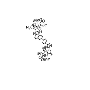 COC(=O)CC(C(=O)N1C[Si](C)(C)C[C@H]1c1nc2ccc3cc(-c4ccc(-c5cnc(C6CC(F)CN6C(=O)[C@@H](NC(=O)OC)C(C)C)[nH]5)cc4)ccc3c2[nH]1)C(C)C